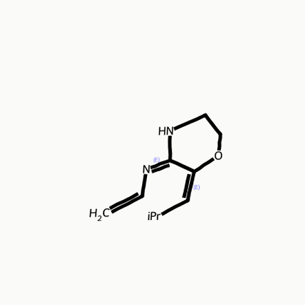 C=C/N=C1/NCCO/C1=C/C(C)C